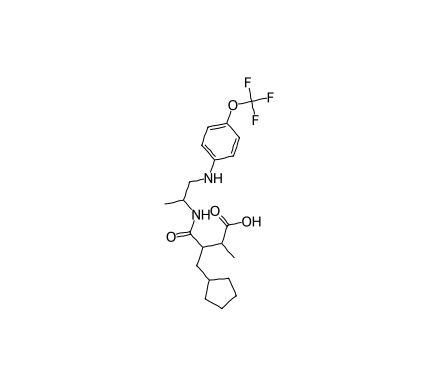 CC(CNc1ccc(OC(F)(F)F)cc1)NC(=O)C(CC1CCCC1)C(C)C(=O)O